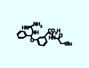 CC(C)(C)CC(=O)N[C@@H](Cc1cccc(OC(NC(=N)N)c2ccccc2)c1)C(=O)O